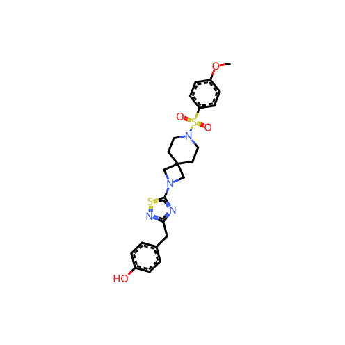 COc1ccc(S(=O)(=O)N2CCC3(CC2)CN(c2nc(Cc4ccc(O)cc4)ns2)C3)cc1